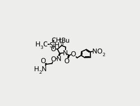 C[SiH](C)OC1/C(=N\OCC(N)=O)N(C(=O)OCc2ccc([N+](=O)[O-])cc2)C[C@H]1C(C)(C)C